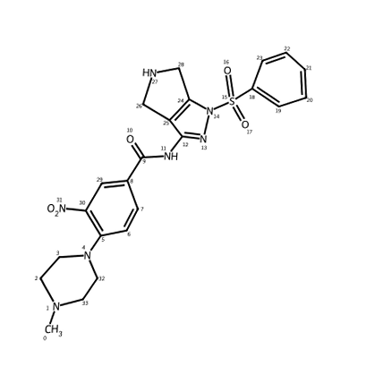 CN1CCN(c2ccc(C(=O)Nc3nn(S(=O)(=O)c4ccccc4)c4c3CNC4)cc2[N+](=O)[O-])CC1